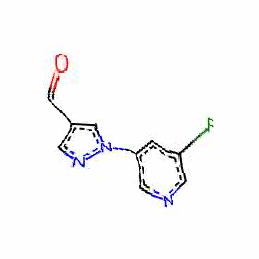 O=Cc1cnn(-c2cncc(F)c2)c1